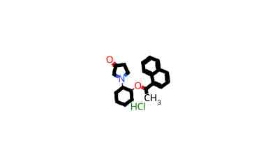 CC(O[C@@H]1CCCC[C@@H]1N1CCC(=O)C1)c1cccc2ccccc12.Cl